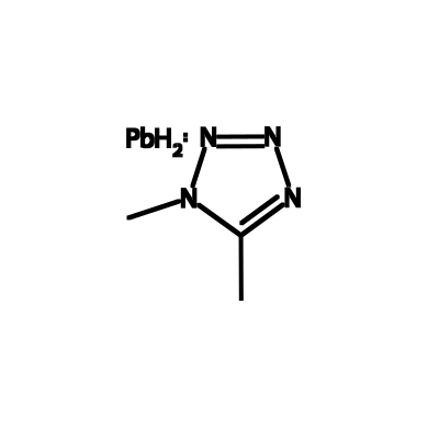 Cc1nnnn1C.[PbH2]